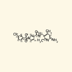 Cc1cc(N)nc(C)c1CNC(=O)c1ccn(S(=O)(=O)c2ccc(Cl)s2)c1